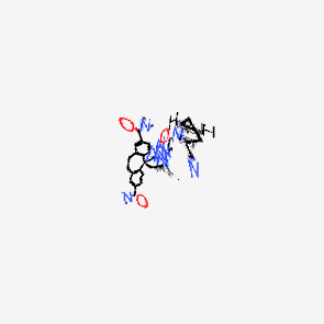 C[C@H](CC1(c2nnn(C)n2)c2ccc(C(=O)N(C)C)cc2CCc2cc(C(=O)N(C)C)ccc21)NCC(=O)N1[C@H](C#N)C[C@@H]2C[C@@H]21